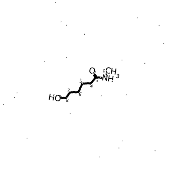 CNC(=O)CC[CH]CCO